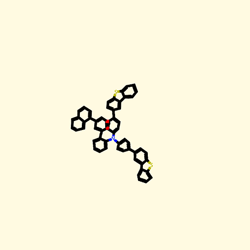 c1cc(-c2ccccc2N(c2ccc(-c3ccc4sc5ccccc5c4c3)cc2)c2ccc(-c3ccc4sc5ccccc5c4c3)cc2)cc(-c2cccc3ccccc23)c1